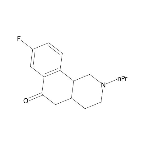 CCCN1CCC2CC(=O)c3cc(F)ccc3C2C1